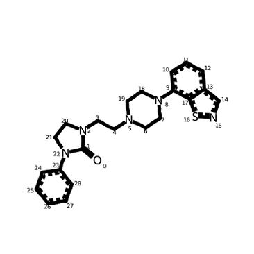 O=C1N(CCN2CCN(c3cccc4cnsc34)CC2)CCN1c1ccccc1